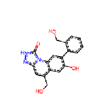 O=c1[nH]nc2cc(CO)c3cc(O)c(-c4ccccc4CO)cc3n12